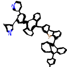 c1ccc(-c2c3ccccc3c(-c3cccc4c3sc3cc(-c5c6ccccc6c(-c6cc(-c7cccnc7)cc(-c7cccnc7)c6)c6ccccc56)ccc34)c3ccccc23)cc1